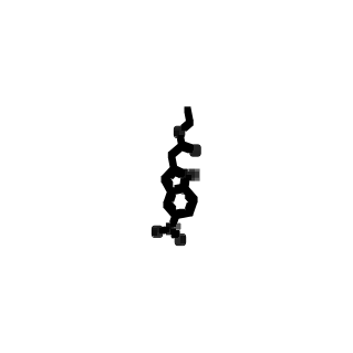 CCOC(=O)Cc1cc2cc([N+](=O)[O-])ccc2[nH]1